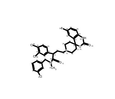 CN(Cc1cccc(Cl)c1)C(=O)C(CCN1CCC2(CC1)OC(=O)Nc1ccc(F)cc12)c1ccc(Cl)c(Cl)c1